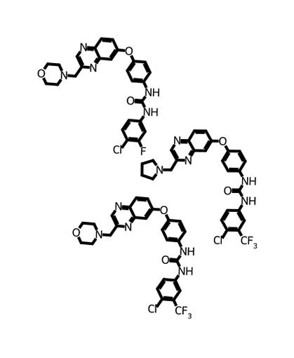 O=C(Nc1ccc(Oc2ccc3ncc(CN4CCCC4)nc3c2)cc1)Nc1ccc(Cl)c(C(F)(F)F)c1.O=C(Nc1ccc(Oc2ccc3ncc(CN4CCOCC4)nc3c2)cc1)Nc1ccc(Cl)c(C(F)(F)F)c1.O=C(Nc1ccc(Oc2ccc3ncc(CN4CCOCC4)nc3c2)cc1)Nc1ccc(Cl)c(F)c1